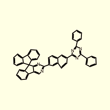 c1ccc(-c2nc(-c3ccccc3)nc(-c3ccc4cc(-c5ncc6c(n5)C5(c7ccccc7-c7ccccc75)c5ccccc5-6)ccc4c3)n2)cc1